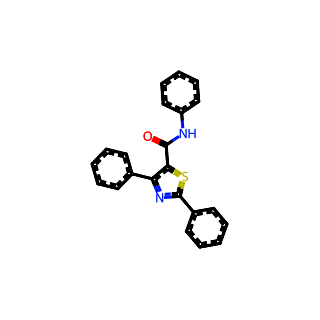 O=C(Nc1ccccc1)c1sc(-c2ccccc2)nc1-c1ccccc1